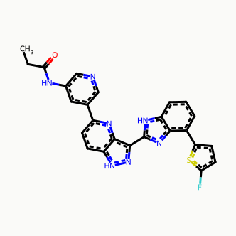 CCC(=O)Nc1cncc(-c2ccc3[nH]nc(-c4nc5c(-c6ccc(F)s6)cccc5[nH]4)c3n2)c1